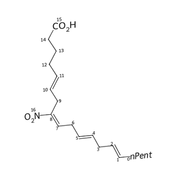 CCCCCC=CCC=CCC=C(CC=CCCCC(=O)O)[N+](=O)[O-]